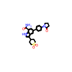 NC(=O)c1cc(-c2ccc(N3CCCC3=O)cc2)cc2c(C3CCS(=O)(=O)CC3)c[nH]c12